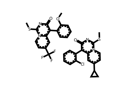 COc1ccccc1-c1c(=O)nc(SC)n2ccc(C(F)(F)F)cc12.CSc1nc(=O)c(-c2ccccc2Cl)c2cc(C3CC3)ccn12